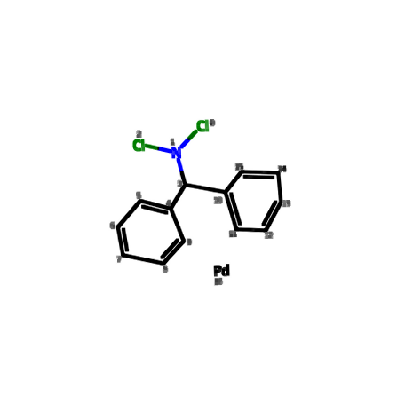 ClN(Cl)C(c1ccccc1)c1ccccc1.[Pd]